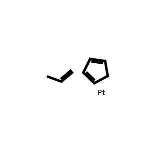 C1=CCC=C1.C=CC.[Pt]